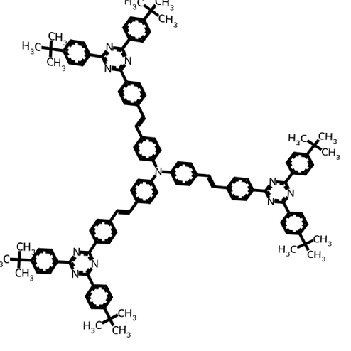 CC(C)(C)c1ccc(-c2nc(-c3ccc(C=Cc4ccc(N(c5ccc(C=Cc6ccc(-c7nc(-c8ccc(C(C)(C)C)cc8)nc(-c8ccc(C(C)(C)C)cc8)n7)cc6)cc5)c5ccc(C=Cc6ccc(-c7nc(-c8ccc(C(C)(C)C)cc8)nc(-c8ccc(C(C)(C)C)cc8)n7)cc6)cc5)cc4)cc3)nc(-c3ccc(C(C)(C)C)cc3)n2)cc1